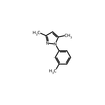 Cc1[c]c(-n2nc(C)cc2C)ccc1